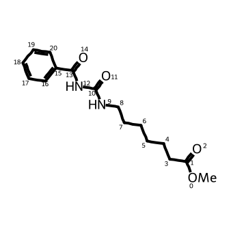 COC(=O)CCCCCCNC(=O)NC(=O)c1ccccc1